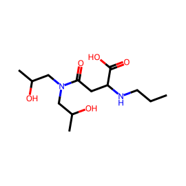 CCCNC(CC(=O)N(CC(C)O)CC(C)O)C(=O)O